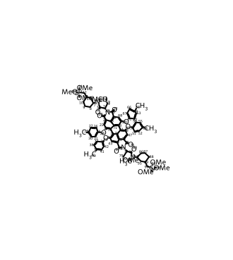 COCC(C(=O)N(C)C1CCCC(C[Si](OC)(OC)OC)C1)N1C(=O)c2cc(Oc3ccc(C)cc3)c3c4c(Oc5ccc(C)cc5)cc5c6c(cc(Oc7ccc(C)cc7)c(c7c(Oc8ccc(C)cc8)cc(c2c37)C1=O)c64)C(=O)N(C(COC)C(=O)N(C)C1CCCC(C[Si](OC)(OC)OC)C1)C5=O